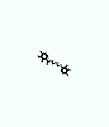 Cc1ccc(OCNCNC(=O)c2ccc(C)c(C)c2C)c(C)c1C